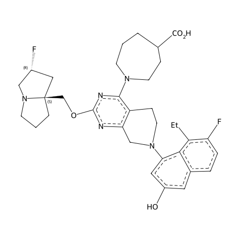 CCc1c(F)ccc2cc(O)cc(N3CCc4c(nc(OC[C@@]56CCCN5C[C@H](F)C6)nc4N4CCCC(C(=O)O)CC4)C3)c12